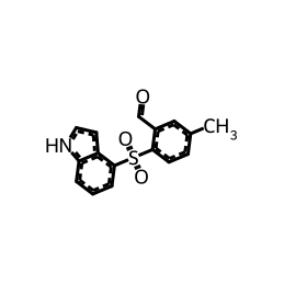 Cc1ccc(S(=O)(=O)c2cccc3[nH]ccc23)c(C=O)c1